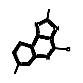 Cc1ccc2c(c1)nc(Cl)n1nc(C)nc21